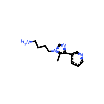 Cc1c(-c2cccnc2)ncn1CCCCN